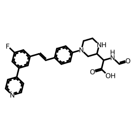 O=CNC(C(=O)O)C1CN(c2ccc(C=Cc3cc(F)cc(-c4ccncc4)c3)cc2)CCN1